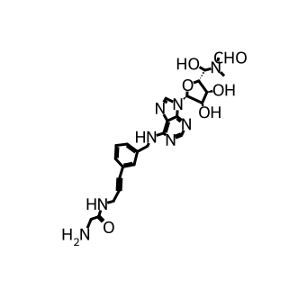 CN(C=O)C(O)[C@H]1O[C@@H](n2cnc3c(NCc4cccc(C#CCNC(=O)CN)c4)ncnc32)[C@H](O)[C@@H]1O